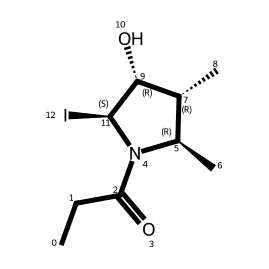 CCC(=O)N1[C@H](C)[C@@H](C)[C@@H](O)[C@@H]1I